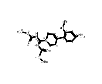 CCOc1cc(N)ccc1C1=CCN(/C(=N\C(=O)OC(C)(C)C)NC(=O)OC(C)(C)C)CC1